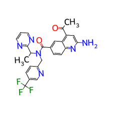 CC(=O)c1cc(N)nc2ccc(C(=O)N(Cc3ccc(C(F)(F)F)cn3)C(C)c3ncccn3)cc12